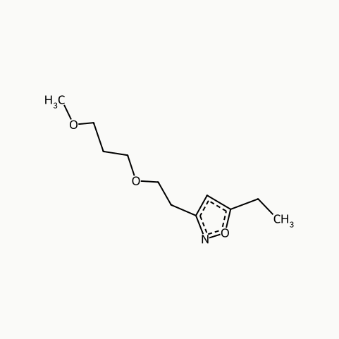 CCc1cc(CCOCCCOC)no1